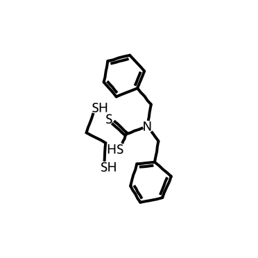 S=C(S)N(Cc1ccccc1)Cc1ccccc1.SCCS